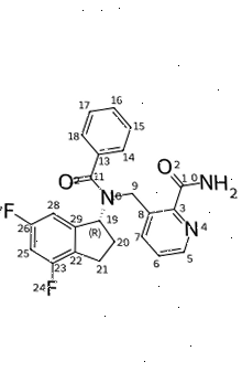 NC(=O)c1ncccc1CN(C(=O)c1ccccc1)[C@@H]1CCc2c(F)cc(F)cc21